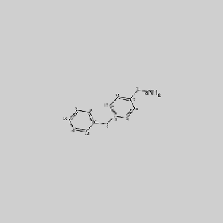 NCc1ccc(Cc2ccccc2)cc1